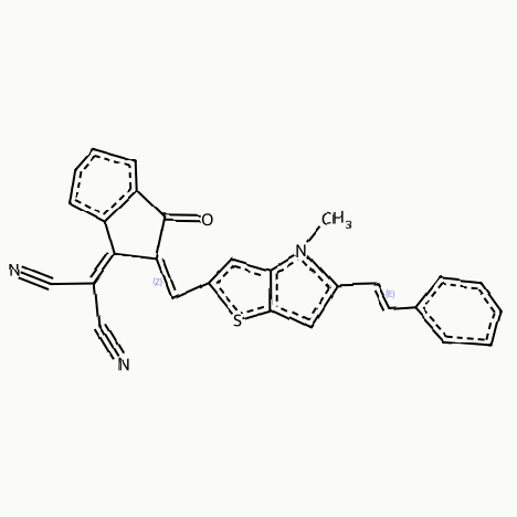 Cn1c(/C=C/c2ccccc2)cc2sc(/C=C3\C(=O)c4ccccc4C3=C(C#N)C#N)cc21